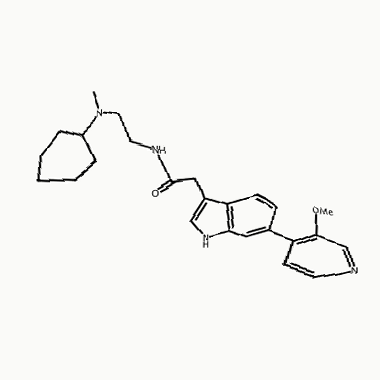 COc1cnccc1-c1ccc2c(CC(=O)NCCN(C)C3CCCCC3)c[nH]c2c1